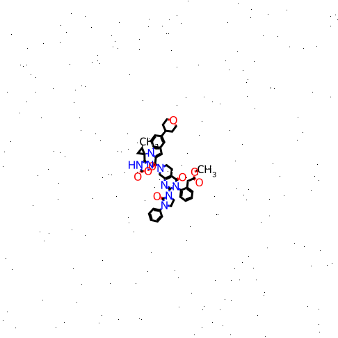 COC(=O)Cc1ccccc1-n1c(N2CCN(c3ccccc3)C2=O)nc2c(c1=O)CCN(C(=O)c1cc3cc(C4CCOCC4)ccc3n1[C@@]1(c3noc(=O)[nH]3)C[C@@H]1C)C2